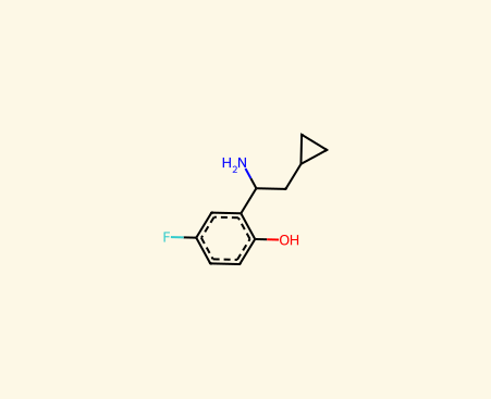 NC(CC1CC1)c1cc(F)ccc1O